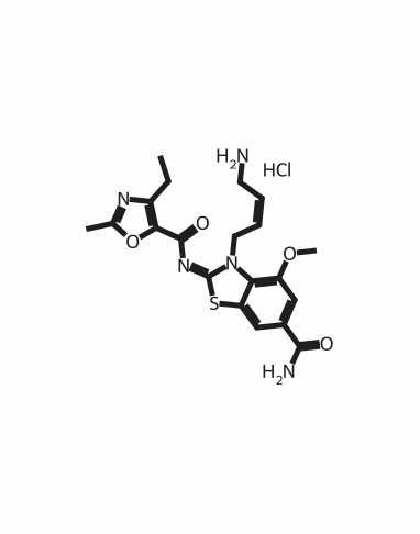 CCc1nc(C)oc1C(=O)N=c1sc2cc(C(N)=O)cc(OC)c2n1C/C=C\CN.Cl